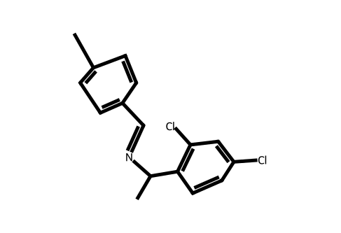 Cc1ccc(C=NC(C)c2ccc(Cl)cc2Cl)cc1